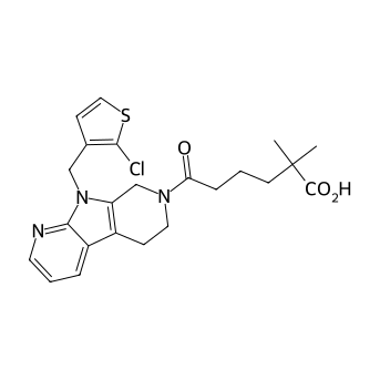 CC(C)(CCCC(=O)N1CCc2c(n(Cc3ccsc3Cl)c3ncccc23)C1)C(=O)O